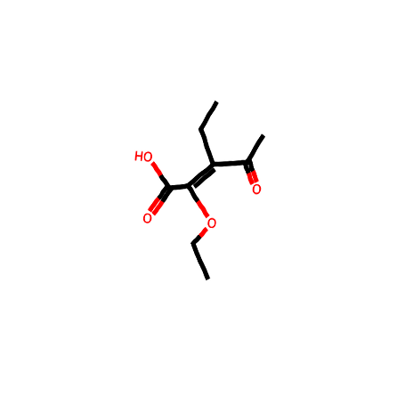 CCOC(C(=O)O)=C(CC)C(C)=O